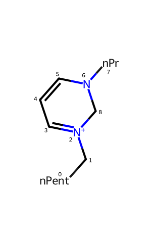 CCCCCC[N+]1=CC=CN(CCC)C1